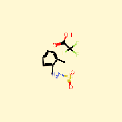 Cc1ccccc1C.N[SH](=O)=O.O=C(O)C(F)(F)F